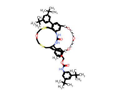 C=C/C1=C\C=C2\CSCCOCCSCc3c(cc(cc3-c3cc(C(C)(C)C)cc(C(C)(C)C)c3)COCCOCCOC1)NC(=O)NC2c1ccc(COC(=O)Nc2cc(C(C)(C)C)cc(C(C)(C)C)c2)cc1